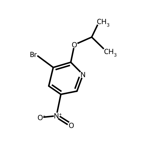 CC(C)Oc1ncc([N+](=O)[O-])cc1Br